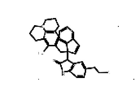 O=C1Nc2ccc(CCCl)cc2C1C1(Cc2cc3c4c(c2O)CCCN4CCC3)C=Cc2ccccc21